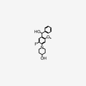 COc1cc(N2CCC(O)CC2)c(F)cc1C(O)c1ccccc1